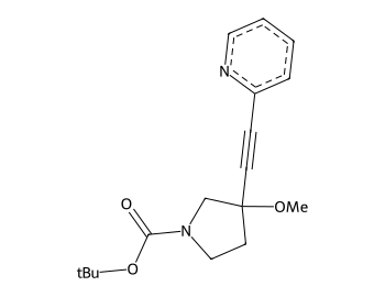 COC1(C#Cc2ccccn2)CCN(C(=O)OC(C)(C)C)C1